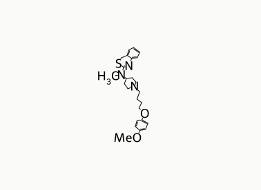 COc1ccc(OCCCCN2CCC(N(C)C3=Nc4ccccc4CS3)CC2)cc1